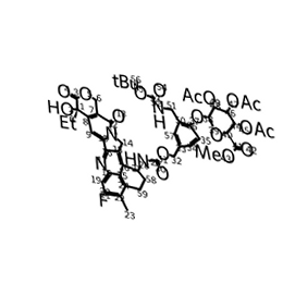 CC[C@@]1(O)C(=O)OCc2c1cc1n(c2=O)Cc2c-1nc1cc(F)c(C)c3c1c2[C@@H](NC(=O)OCc1ccc(O[C@@H]2O[C@H](C(=O)OC)[C@@H](OC(C)=O)[C@H](OC(C)=O)[C@H]2OC(C)=O)c(CNC(=O)OC(C)(C)C)c1)CC3